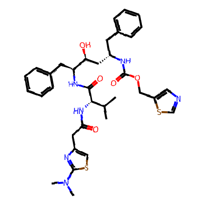 CC(C)[C@H](NC(=O)Cc1csc(N(C)C)n1)C(=O)N[C@@H](Cc1ccccc1)[C@@H](O)C[C@H](Cc1ccccc1)NC(=O)OCc1cncs1